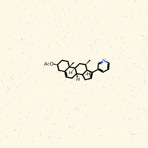 CC(=O)O[C@H]1CC[C@@]2(C)C(=CC[C@H]3[C@@H]4CC=C(c5cccnc5)C4[C@H](C)C[C@@H]32)C1